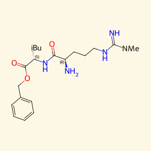 CCC(C)[C@H](NC(=O)[C@H](N)CCCNC(=N)NC)C(=O)OCc1ccccc1